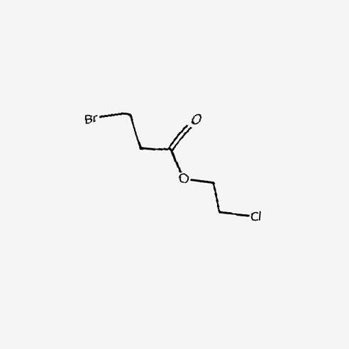 O=C(CCBr)OCCCl